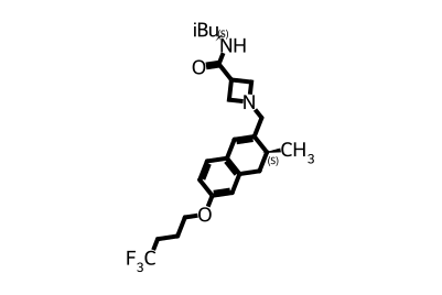 CC[C@H](C)NC(=O)C1CN(CC2=Cc3ccc(OCCCC(F)(F)F)cc3C[C@@H]2C)C1